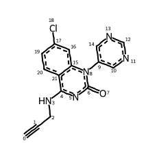 C#CCNc1nc(=O)n(-c2cncnc2)c2cc(Cl)ccc12